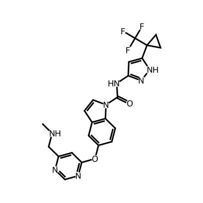 CNCc1cc(Oc2ccc3c(ccn3C(=O)Nc3cc(C4(C(F)(F)F)CC4)[nH]n3)c2)ncn1